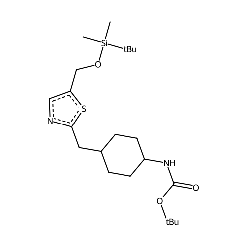 CC(C)(C)OC(=O)NC1CCC(Cc2ncc(CO[Si](C)(C)C(C)(C)C)s2)CC1